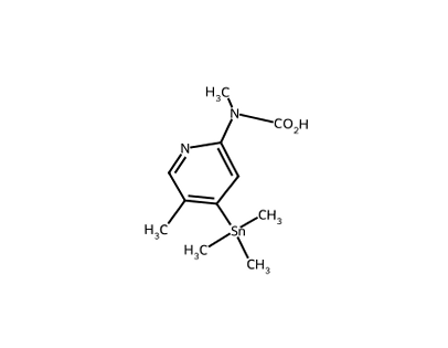 Cc1cnc(N(C)C(=O)O)c[c]1[Sn]([CH3])([CH3])[CH3]